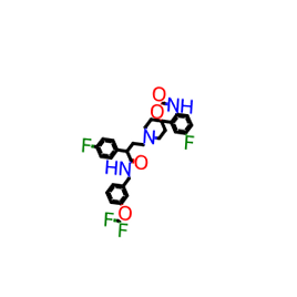 O=C1Nc2ccc(F)cc2C2(CCN(CCC(C(=O)NCc3cccc(OC(F)F)c3)c3ccc(F)cc3)CC2)O1